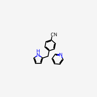 N#Cc1ccc(Cc2ccc[nH]2)cc1.c1ccncc1